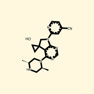 C[C@@H]1CN(c2ncnc3c2C2(CC2)CN3c2cc(C#N)ccn2)[C@@H](C)CN1.Cl